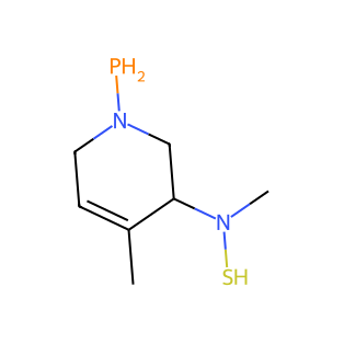 CC1=CCN(P)CC1N(C)S